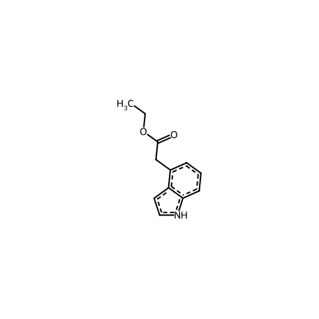 CCOC(=O)Cc1cccc2[nH]ccc12